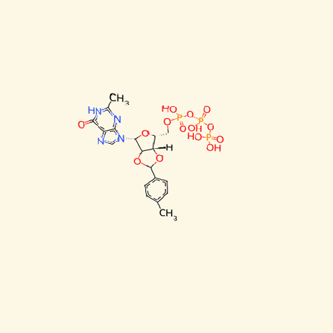 Cc1ccc(C2OC3[C@@H](O2)[C@@H](COP(=O)(O)OP(=O)(O)OP(=O)(O)O)O[C@H]3n2cnc3c(=O)[nH]c(C)nc32)cc1